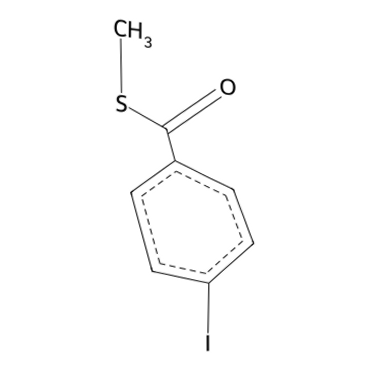 CSC(=O)c1ccc(I)cc1